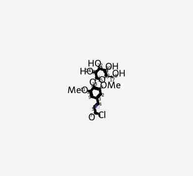 COc1cc(/C=C/C(=O)Cl)cc(OC)c1O[C@@H]1O[C@H](CO)[C@@H](O)[C@H](O)[C@@H]1O